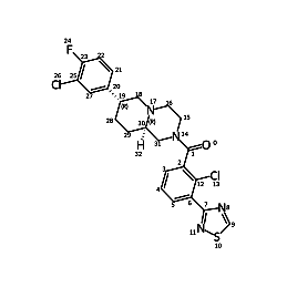 O=C(c1cccc(-c2ncsn2)c1Cl)N1CCN2C[C@@H](c3ccc(F)c(Cl)c3)CC[C@@H]2C1